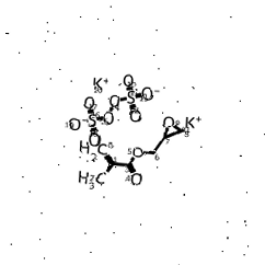 C=C(C)C(=O)OCC1CO1.O=S(=O)([O-])OOS(=O)(=O)[O-].[K+].[K+]